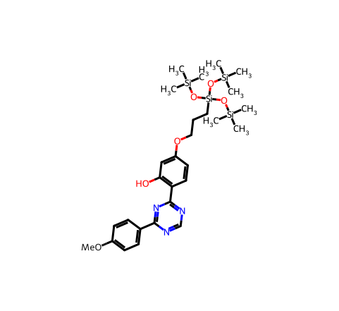 COc1ccc(-c2ncnc(-c3ccc(OCCC[Si](O[Si](C)(C)C)(O[Si](C)(C)C)O[Si](C)(C)C)cc3O)n2)cc1